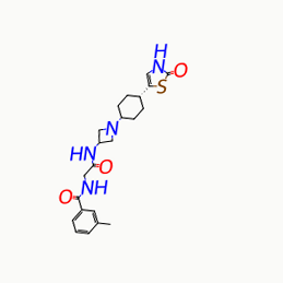 Cc1cccc(C(=O)NCC(=O)NC2CN([C@H]3CC[C@@H](c4c[nH]c(=O)s4)CC3)C2)c1